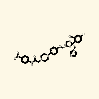 O=C(CN1CCN(c2ccc(OC[C@@H]3CO[C@@](Cn4ccnc4)(c4ccc(Cl)cc4Cl)O3)cc2)CC1)Nc1ccc([N+](=O)[O-])cc1